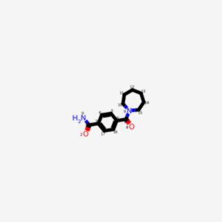 NC(=O)c1ccc(C(=O)N2CCCCCC2)cc1